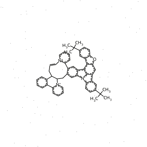 CC(C)(C)c1ccc2oc3cc4c5cc(C(C)(C)C)ccc5n5c6cc7c(cc6c(c3c2c1)c45)-c1cccc[n+]1/C=C/CC1c2ccccc2-c2cccc[n+]2C1C7